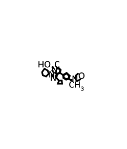 CC(c1ccc(-c2cc(C(=O)O)nc3c2c(C2CCC2)nn3C2CCCCC2)cc1)N1CCOCC1